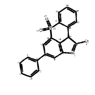 CCC1=Nc2cc(-c3ccccc3)cc3c2C1c1ccccc1S3(=O)=O